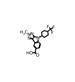 Cn1nc2c3cc(C(=O)O)ccc3n(C3CCC(C(F)(F)F)CC3)c2n1